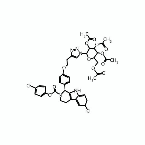 CC(=O)OCC1OC(n2cc(CCOc3ccc([C@H]4c5[nH]c6c(c5CCN4C(=O)Oc4ccc(Cl)cc4)=CC(Cl)CC=6)cc3)nn2)C(OC(C)=O)C(OC(C)=O)C1OC(C)=O